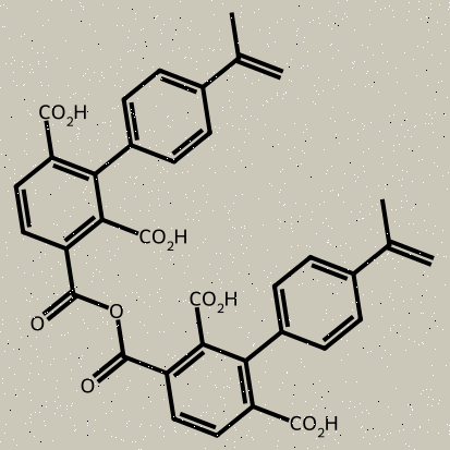 C=C(C)c1ccc(-c2c(C(=O)O)ccc(C(=O)OC(=O)c3ccc(C(=O)O)c(-c4ccc(C(=C)C)cc4)c3C(=O)O)c2C(=O)O)cc1